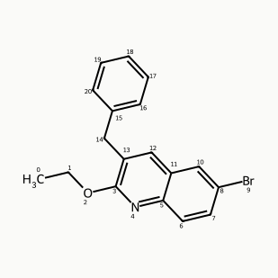 CCOc1nc2ccc(Br)cc2cc1Cc1ccccc1